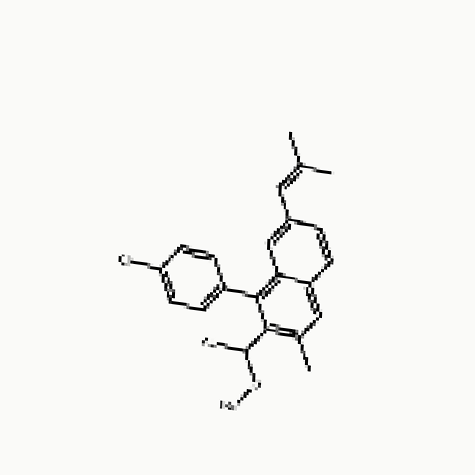 CC(=O)C(OC(C)(C)C)c1c(C)cc2ccc(C=C(C)C)cc2c1-c1ccc(Cl)cc1